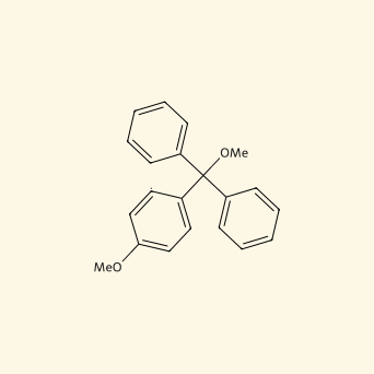 COc1c[c]c(C(OC)(c2ccccc2)c2ccccc2)cc1